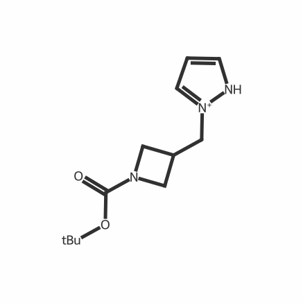 CC(C)(C)OC(=O)N1CC(C[n+]2ccc[nH]2)C1